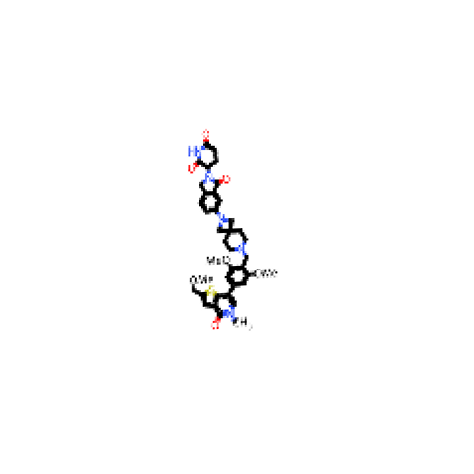 COCc1cc2c(=O)n(C)cc(-c3cc(OC)c(CN4CCC5(CC4)CN(c4ccc6c(c4)C(=O)N(C4CCC(=O)NC4=O)C6)C5)c(OC)c3)c2s1